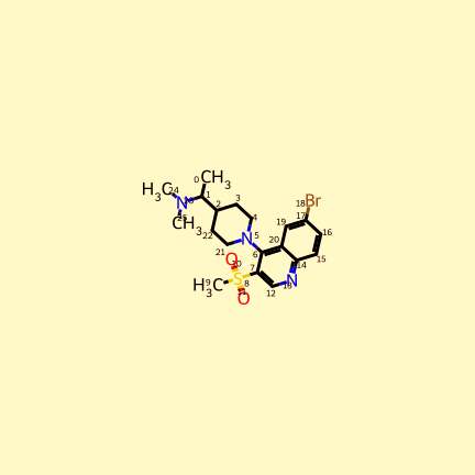 CC(C1CCN(c2c(S(C)(=O)=O)cnc3ccc(Br)cc23)CC1)N(C)C